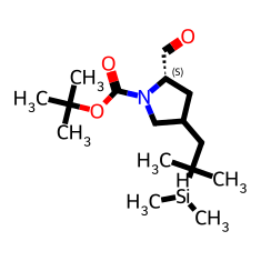 C[SiH](C)C(C)(C)CC1C[C@@H](C=O)N(C(=O)OC(C)(C)C)C1